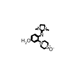 CN1CCN(C)C1=Nc1ccccc1N1CC[S+]([O-])CC1.O